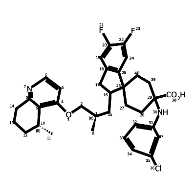 C[C@@H](COc1ccnc2c1[C@H](C)CCC2)CC1Cc2cc(F)c(F)cc2C12CCC(Nc1cccc(Cl)c1)(C(=O)O)CC2